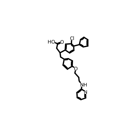 O=C(O)CC(Cc1ccc(OCCCNc2ccccn2)cc1)c1ccc(-c2ccccc2)c(Cl)c1